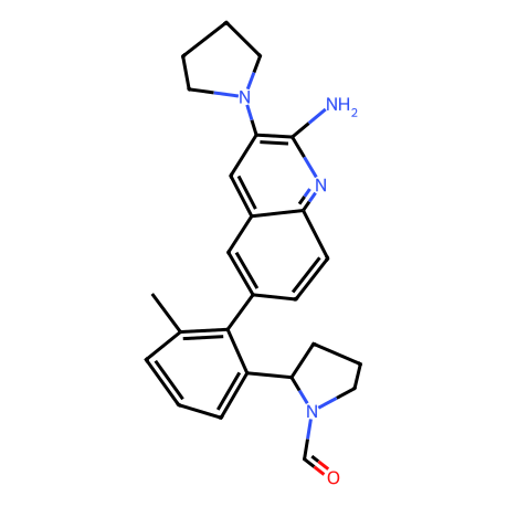 Cc1cccc(C2CCCN2C=O)c1-c1ccc2nc(N)c(N3CCCC3)cc2c1